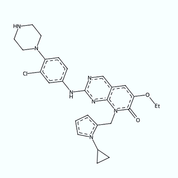 CCOc1cc2cnc(Nc3ccc(N4CCNCC4)c(Cl)c3)nc2n(Cc2cccn2C2CC2)c1=O